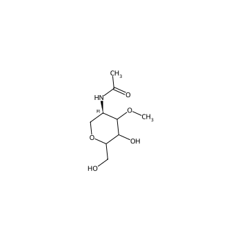 COC1C(O)C(CO)OC[C@H]1NC(C)=O